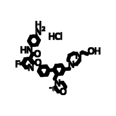 C[C@H]1COCCN1Cc1cc(CN2CCCN(CCO)CC2)ccc1-c1cccc(Oc2ncc(F)cc2C(=O)N[C@H]2CC[C@H](N)CC2)c1.Cl